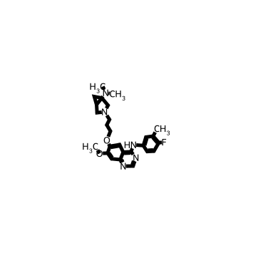 COc1cc2ncnc(Nc3ccc(F)c(C)c3)c2cc1OCCCN1CC2CC2(N(C)C)C1